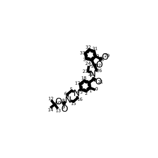 Cc1cc(N2CCN(C(=O)OC(C)(C)C)CC2)ccc1C(=O)N1CC[C@@]2(C1)OC(=O)c1ccccc12